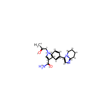 CC(=O)Cn1cc(C(N)=O)c2cc(-c3cnc4n3CCCC4)ccc21